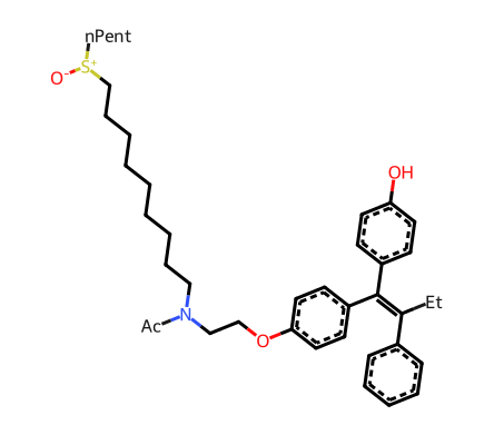 CCCCC[S+]([O-])CCCCCCCCCN(CCOc1ccc(/C(=C(/CC)c2ccccc2)c2ccc(O)cc2)cc1)C(C)=O